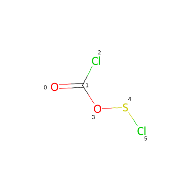 O=C(Cl)OSCl